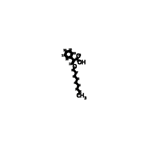 CCCCCCCCCOC=C(C(=O)O)c1ccccc1